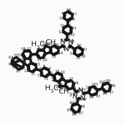 CC1(C)c2cc(-c3ccc(-c4ccc5c(c4)-c4c(-c6ccc7c(c6)C(C)(C)c6cc(-c8nc(-c9ccccc9)nc(-c9ccc(-c%10ccccc%10)cc9)n8)ccc6-7)cccc4C54C5CC6CC(C5)CC4C6)cc3)ccc2-c2ccc(-c3nc(-c4ccccc4)nc(-c4ccc(-c5ccccc5)cc4)n3)cc21